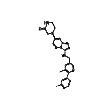 Cc1cc(-c2ncc(CNc3nnc4cc(N5CCNC(=O)C5)cnn34)cc2C)ccn1